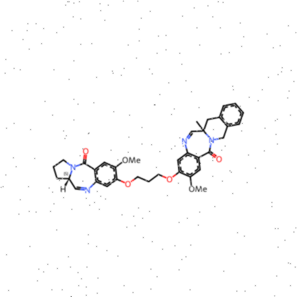 COc1cc2c(cc1OCCCOc1cc3c(cc1OC)C(=O)N1Cc4ccccc4CC1(C)C=N3)N=C[C@@H]1CCCN1C2=O